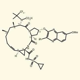 COc1ccc2nc(C(C)C)c(O[C@@H]3C[C@H]4C(=O)N[C@]5(C(=O)NS(=O)(=O)C6CC6)C[C@H]5C=CCC[C@@H](C)C[C@@H](C)[C@H](N(C(=O)O)C(C)(C)C(F)(F)F)C(=O)N4C3)nc2c1